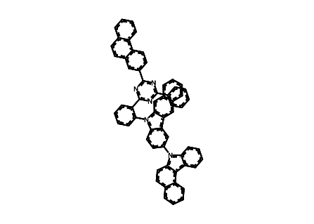 c1ccc(-c2nc(-c3ccc4c(ccc5ccccc54)c3)nc(-c3ccccc3-n3c4ccc(-n5c6ccccc6c6c7ccccc7ccc65)cc4c4cc5ccccc5cc43)n2)cc1